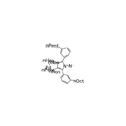 CCCCCCCC[CH2][Pd][CH2]CCCCCCCC.CCCCCCCCc1cccc(C2=C(CCCCC)C(CCCCCC)=C(c3cccc(CCCCC)c3)[N+]2=[N-])c1